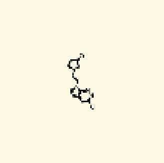 O=C1CCN(CCn2ccc3cc(Cl)nnc32)C1